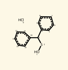 Cl.OSC(c1ccccc1)c1ccccc1